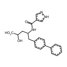 O=C(NC(Cc1ccc(-c2ccccc2)cc1)CC(O)C(=O)O)c1cn[nH]c1